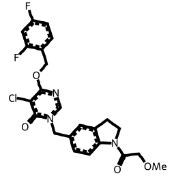 COCC(=O)N1CCc2cc(Cn3cnc(OCc4ccc(F)cc4F)c(Cl)c3=O)ccc21